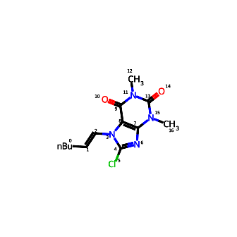 CCCC/C=C/n1c(Cl)nc2c1c(=O)n(C)c(=O)n2C